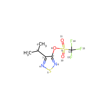 CC(C)c1nsnc1OS(=O)(=O)C(F)(F)F